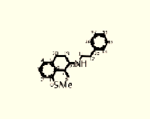 CSc1cccc2c1C(C)C(NCCc1ccccc1)CC2